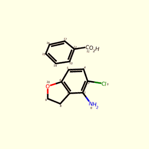 Nc1c(Cl)ccc2c1CCO2.O=C(O)c1ccccc1